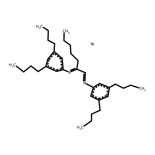 CCCCCC(C=Nc1cc(CCCC)cc(CCCC)c1)=Nc1cc(CCCC)cc(CCCC)c1.[Ni]